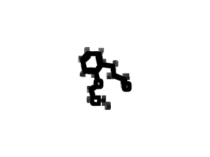 CCOc1ccccc1CCC=O